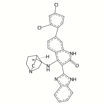 O=c1[nH]c2cc(-c3ccc(Cl)cc3Cl)ccc2c(N[C@H]2CN3CCC2CC3)c1-c1nc2ccccc2[nH]1